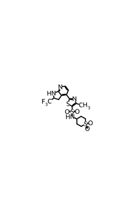 Cc1nc(-c2ccnc3c2CC(C(F)(F)F)N3)sc1S(=O)(=O)NC1CCS(=O)(=O)CC1